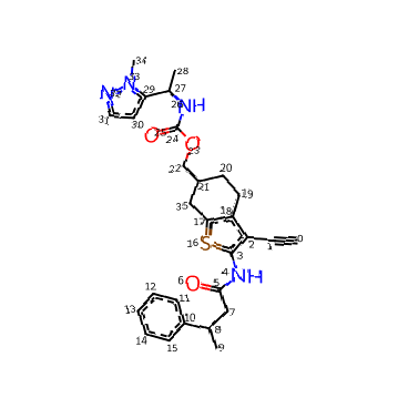 C#Cc1c(NC(=O)CC(C)c2ccccc2)sc2c1CCC(COC(=O)NC(C)c1ccnn1C)C2